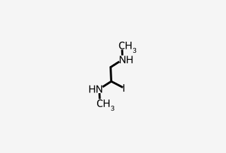 CNCC(I)NC